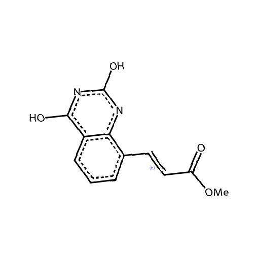 COC(=O)/C=C/c1cccc2c(O)nc(O)nc12